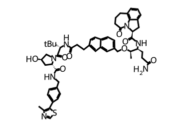 Cc1ncsc1-c1ccc(CNC(=O)[C@@H]2C[C@@H](O)CN2C(=O)[C@@H](NC(=O)CCc2ccc3ccc(CO[C@H](C)[C@H](CCC(N)=O)NC(=O)[C@@H]4Cc5cccc6c5N4C(=O)CCC6)cc3c2)C(C)(C)C)cc1